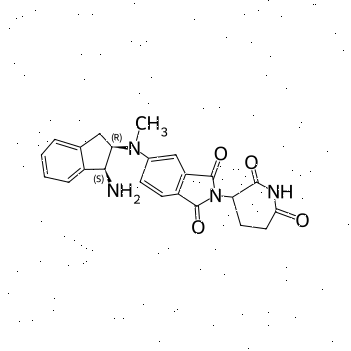 CN(c1ccc2c(c1)C(=O)N(C1CCC(=O)NC1=O)C2=O)[C@@H]1Cc2ccccc2[C@@H]1N